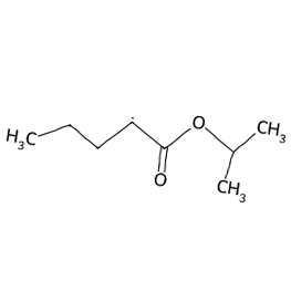 CCC[CH]C(=O)OC(C)C